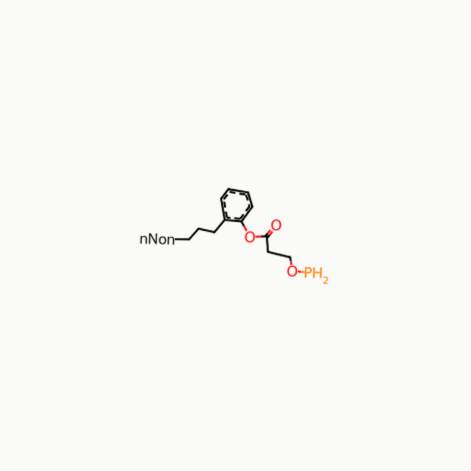 CCCCCCCCCCCCc1ccccc1OC(=O)CCOP